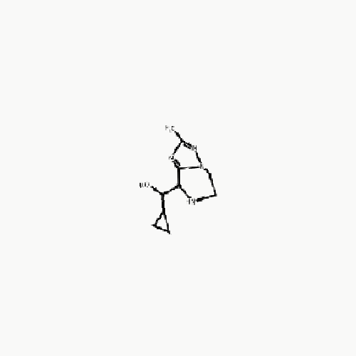 OC(C1CC1)C1NCCn2nc(C(F)(F)F)nc21